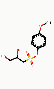 COc1ccc(OS(=O)(=O)CC(Br)CBr)cc1